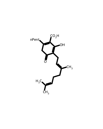 CCCCCC1=C(C(=O)O)C(O)=C(C/C=C(\C)CCC=C(C)C)C(=O)C1